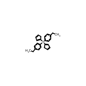 CCc1cc[c]([Ti]([C]2=CC=CC2)([C]2=CC=CC2)[c]2ccc(CC)cc2)cc1